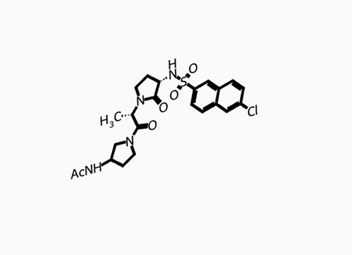 CC(=O)NC1CCN(C(=O)[C@H](C)N2CC[C@H](NS(=O)(=O)c3ccc4cc(Cl)ccc4c3)C2=O)C1